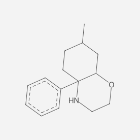 CC1CCC2(c3ccccc3)NCCOC2C1